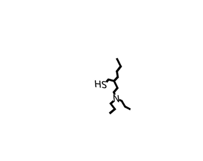 CCCCC(CS)CCN(CCC)CCC